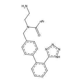 CCCC(=O)N(CCN)Cc1ccc(-c2ccccc2-c2nnn[nH]2)cc1